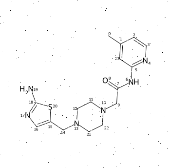 Cc1ccnc(NC(=O)CN2CCN(Cc3cnc(N)s3)CC2)c1